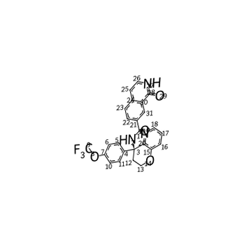 O=C(N[C@]1(c2ccc(OC(F)(F)F)cc2)CCOc2cccnc21)c1ccc2cc[nH]c(=O)c2c1